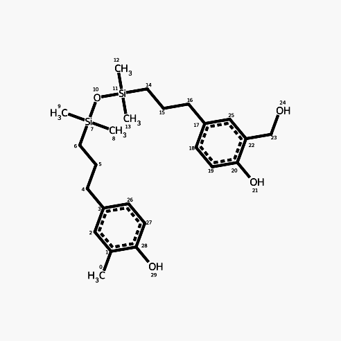 Cc1cc(CCC[Si](C)(C)O[Si](C)(C)CCCc2ccc(O)c(CO)c2)ccc1O